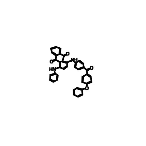 O=C(c1ccc(Nc2ccc(Nc3ccccc3)c3c2C(=O)c2ccccc2C3=O)cc1)c1ccc(Oc2ccccc2)cc1